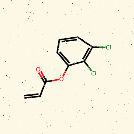 C=CC(=O)Oc1cccc(Cl)c1Cl